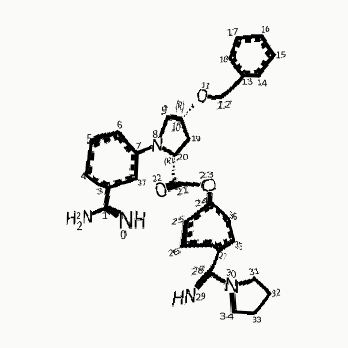 N=C(N)c1cccc(N2C[C@H](OCc3ccccc3)C[C@@H]2C(=O)Oc2ccc(C(=N)N3CCCC3)cc2)c1